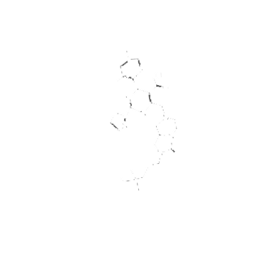 CC(C)(CO)CCCN1CC2CN(CC3=C(C(=O)O)[C@H](c4ccc(F)cc4Cl)N=C(c4nccs4)N3)CCN2C1=O